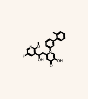 COc1ncc(F)cc1C(O)Cc1cc(=O)c(O)cn1-c1cccc(-c2ccccc2C)c1